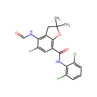 CC1(C)Cc2c(NC=O)c(F)cc(C(=O)Nc3c(F)cccc3Cl)c2O1